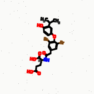 CC(C)c1cc(Oc2c(Br)cc(CC(=O)N[C@@H](CCC(=O)O)C(=O)O)cc2Br)ccc1O